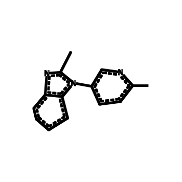 Cc1ccc(-n2c(C)nc3ccccc32)cn1